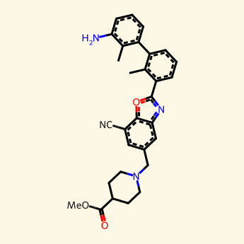 COC(=O)C1CCN(Cc2cc(C#N)c3oc(-c4cccc(-c5cccc(N)c5C)c4C)nc3c2)CC1